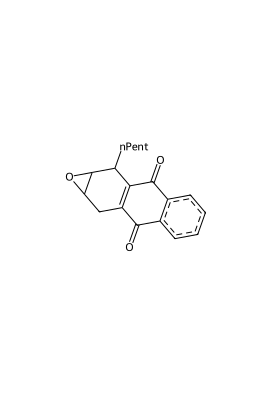 CCCCCC1C2=C(CC3OC31)C(=O)c1ccccc1C2=O